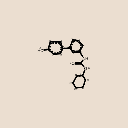 O=C(Nc1cccc(-c2ccc(O)cc2)c1)OC1CCCCC1